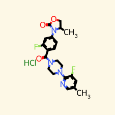 Cc1cnc(N2CCN(C(=O)c3ccc(N4C(=O)OCC4C)cc3F)CC2)c(F)c1.Cl